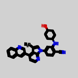 Cc1cn(-c2ccc(C#N)c(N[C@H]3CC[C@H](O)CC3)c2)c2nccc(-c3cnc4ccccc4c3)c12